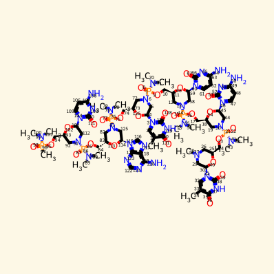 Cc1cn(C2CN(P(=O)(OC[C@@H]3CN(P(=O)(OC[C@@H]4CN(P(=O)(OC[C@@H]5CN(C)C[C@H](n6cc(C)c(=O)[nH]c6=O)O5)N(C)C)C[C@H](n5ccc(N)nc5=O)O4)N(C)C)C[C@H](n4ccc(N)nc4=O)O3)N(C)C)C[C@@H](COP(=O)(N(C)C)N3C[C@@H](COP(=O)(N(C)C)N4C[C@@H](COP(C)(=O)N(C)C)O[C@@H](n5ccc(N)nc5=O)C4)O[C@@H](n4cnc5c(N)ncnc54)C3)O2)c(=O)[nH]c1=O